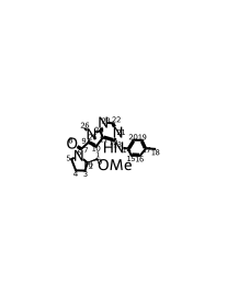 COC[C@H]1CCCN1C(=O)c1cc2c(Nc3ccc(C)cc3)ncnc2n1C